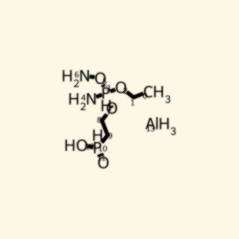 CCO[PH](N)(ON)OCC[PH](=O)O.[AlH3]